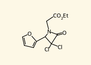 CCOC(=O)CN1C(=O)C(Cl)(Cl)C1c1ccco1